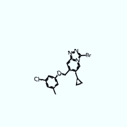 Cc1cc(Cl)cc(OCc2cc3nnc(Br)n3cc2C2CC2)c1